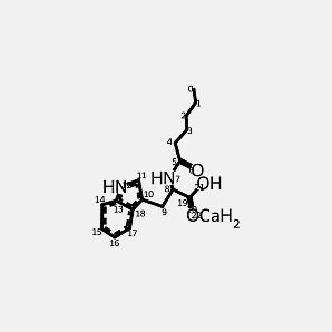 CCCCCC(=O)NC(Cc1c[nH]c2ccccc12)C(=O)O.[CaH2]